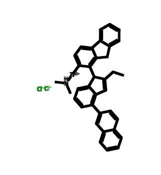 CCC1=Cc2c(-c3ccc4ccccc4c3)cccc2C1c1[c]([Zr+2][SiH](C)C)ccc2c1Cc1ccccc1-2.[Cl-].[Cl-]